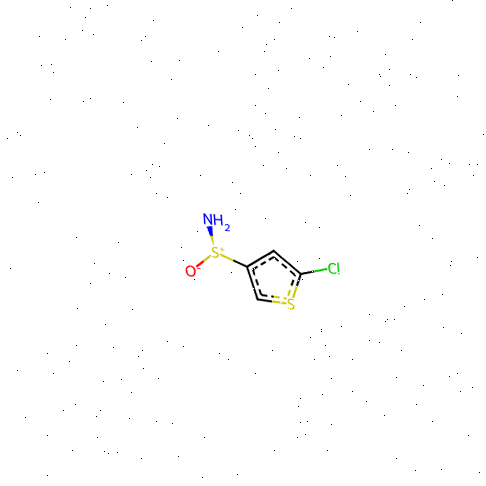 N[S@+]([O-])c1csc(Cl)c1